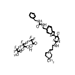 CN1CCN(CCCNc2ncc(Cl)c(-c3cc4ccc(CNC(=O)NCc5ccccc5)cc4s3)n2)CC1.O=C(O)C(F)(F)F.O=C(O)C(F)(F)F.O=C(O)C(F)(F)F